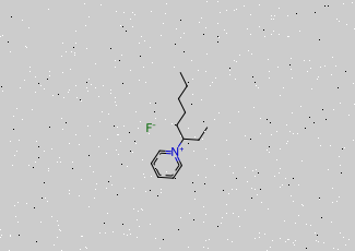 CCCCCC(CC)[n+]1ccccc1.[F-]